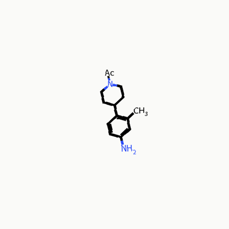 CC(=O)N1CCC(c2ccc(N)cc2C)CC1